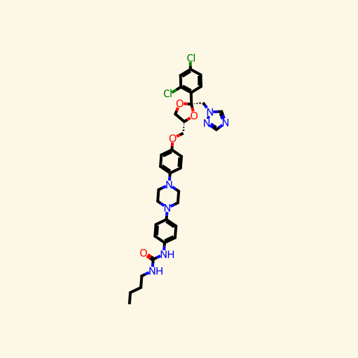 CCCCNC(=O)Nc1ccc(N2CCN(c3ccc(OC[C@@H]4CO[C@@](Cn5cncn5)(c5ccc(Cl)cc5Cl)O4)cc3)CC2)cc1